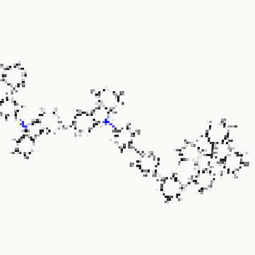 c1ccc(-c2cccc(-n3c4ccccc4c4cc(-c5ccc6c(c5)c5ccccc5n6-c5ccc(-c6ccc(-c7cccc(-c8cccc(C9(c%10ccccc%10)c%10ccccc%10-c%10ccccc%109)c8)c7)cc6)cc5)ccc43)c2)cc1